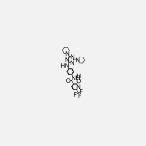 O=C(Nc1ccc(Nc2nc(N3CCCCC3)nc(N3CCCCC3)n2)cc1)c1ccc(C(F)(F)F)nc1O